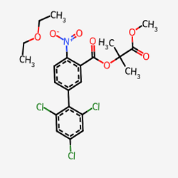 CCOCC.COC(=O)C(C)(C)OC(=O)c1cc(-c2c(Cl)cc(Cl)cc2Cl)ccc1[N+](=O)[O-]